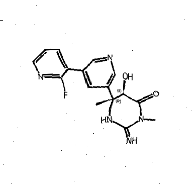 CN1C(=N)N[C@](C)(c2cncc(-c3cccnc3F)c2)[C@@H](O)C1=O